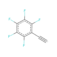 [C]#Cc1c(F)c(F)c(F)c(F)c1F